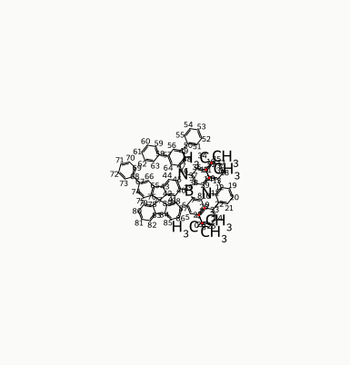 CC(C)(C)c1ccc2c(c1)N(c1c(-c3ccccc3)cccc1-c1ccccc1)c1cc(C(C)(C)C)cc3c1B2c1cc2c(cc1N3c1cc(-c3ccccc3)cc(-c3ccccc3)c1)-c1cc(-c3ccccc3)ccc1C21c2ccccc2-c2ccccc21